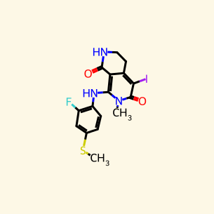 CSc1ccc(Nc2c3c(c(I)c(=O)n2C)CCNC3=O)c(F)c1